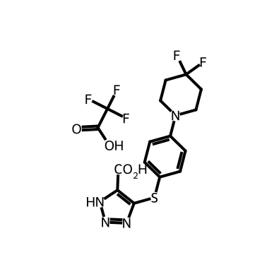 O=C(O)C(F)(F)F.O=C(O)c1[nH]nnc1Sc1ccc(N2CCC(F)(F)CC2)cc1